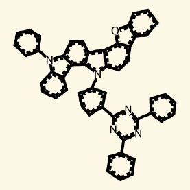 c1ccc(-c2nc(-c3ccccc3)nc(-c3cccc(-n4c5ccc6c7ccccc7oc6c5c5ccc6c(c7ccccc7n6-c6ccccc6)c54)c3)n2)cc1